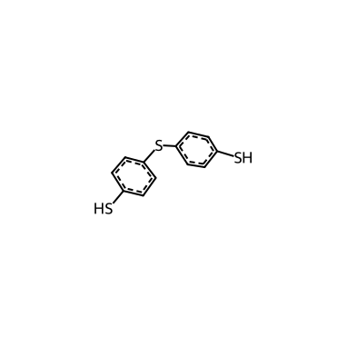 Sc1ccc(Sc2ccc(S)cc2)cc1